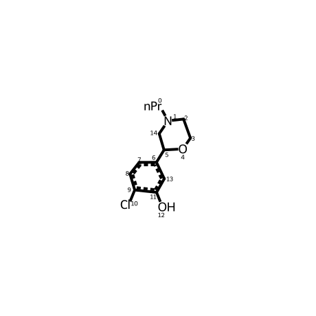 CCCN1CCOC(c2ccc(Cl)c(O)c2)C1